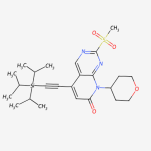 CC(C)[Si](C#Cc1cc(=O)n(C2CCOCC2)c2nc(S(C)(=O)=O)ncc12)(C(C)C)C(C)C